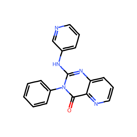 O=c1c2ncccc2nc(Nc2cccnc2)n1-c1ccccc1